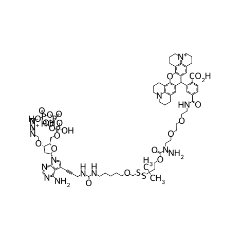 CC(C)(CCOC(=O)N(N)CCOCCOCCNC(=O)c1ccc(C(=O)O)c(C2=c3cc4c5c(c3Oc3c2cc2c6c3CCCN6CCC2)CCC[N+]=5CCC4)c1)SSCOCCCCCNC(=O)NCC#Cc1cn([C@H]2C[C@H](OCN=[N+]=[N-])[C@@H](COP(=O)(O)OP(=O)(O)OP(=O)(O)O)O2)c2ncnc(N)c12